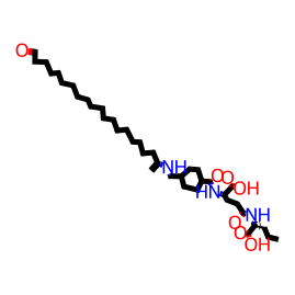 C=C(CCCCCCCCCCCCCCCCCCC=O)NCC1CCC(C(=O)NC(CCC(=O)N[C@@H](CCC)C(=O)O)C(=O)O)CC1